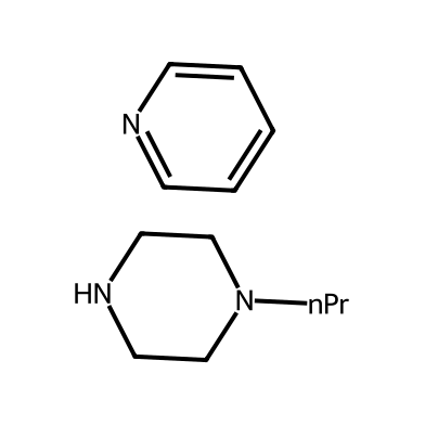 CCCN1CCNCC1.c1ccncc1